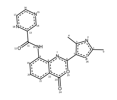 Cc1nc(C)c(-c2nc3c(NC(=O)c4cnccn4)cccc3c(=O)o2)s1